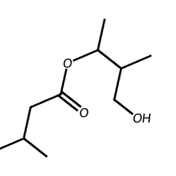 CC(C)CC(=O)OC(C)C(C)CO